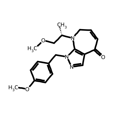 COC[C@H](C)N1CC=CC(=O)c2cnn(Cc3ccc(OC)cc3)c21